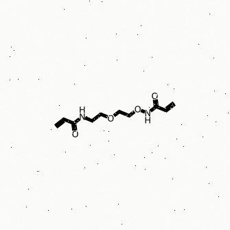 C=CC(=O)NCCOCCONC(=O)C=C